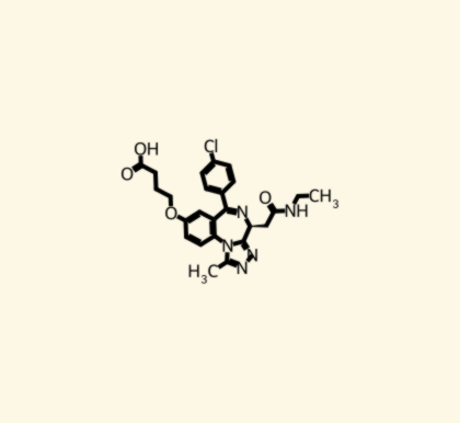 CCNC(=O)C[C@@H]1N=C(c2ccc(Cl)cc2)c2cc(OCCCC(=O)O)ccc2-n2c(C)nnc21